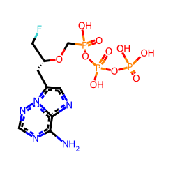 Nc1ncnn2c(C[C@H](CF)OCP(=O)(O)OP(=O)(O)OP(=O)(O)O)cnc12